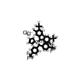 Cc1cc2c(cc1C(C)(C)C)-c1cc(C(C)(C)C)c(C)cc1[CH]2[Zr+2]([C]1=CC=CC1)=[C](c1ccc(C(F)(F)F)cc1)c1ccc(C(F)(F)F)cc1.[Cl-].[Cl-]